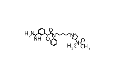 CC(=O)N(C)C1CCN(CCCCCN2C(=O)C(c3cccc(C(=N)N)c3)Oc3ccccc32)C1